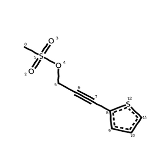 CS(=O)(=O)OCC#Cc1cccs1